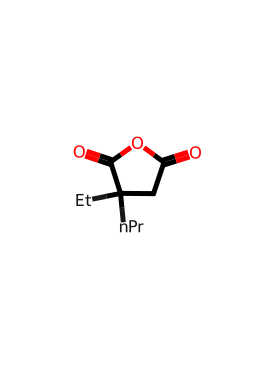 CCCC1(CC)CC(=O)OC1=O